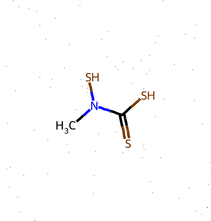 CN(S)C(=S)S